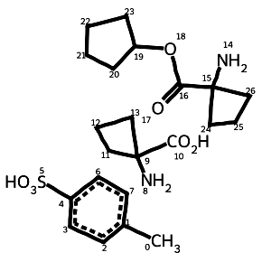 Cc1ccc(S(=O)(=O)O)cc1.NC1(C(=O)O)CCC1.NC1(C(=O)OC2CCCC2)CCC1